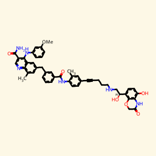 COc1cccc(Nc2c(C(N)=O)cnc3c(C)cc(Cc4cccc(C(=O)Nc5ccc(C#CCCCNC[C@H](O)c6ccc(O)c7c6OCC(=O)N7)cc5C)c4)cc23)c1